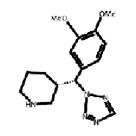 COc1ccc(C([C@H]2CCCNC2)n2ncnn2)cc1OC